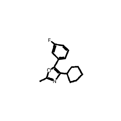 Cc1nc(C2CCCCC2)c(-c2cccc(F)c2)o1